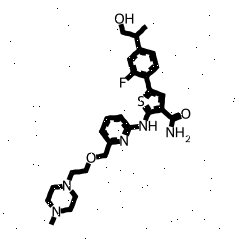 CC(CO)c1ccc(-c2cc(C(N)=O)c(Nc3cccc(COCCN4CCN(C)CC4)n3)s2)c(F)c1